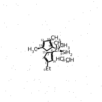 CCC1=CC[C]([Zr]([CH3])([CH3])(=[SiH2])[C]2=C(C)C=C(C)C2)=C1.Cl.Cl